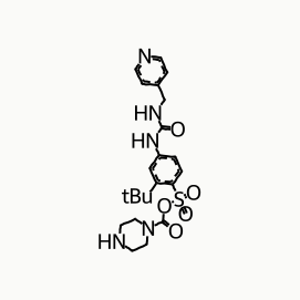 CC(C)(C)c1cc(NC(=O)NCc2ccncc2)ccc1S(=O)(=O)OC(=O)N1CCNCC1